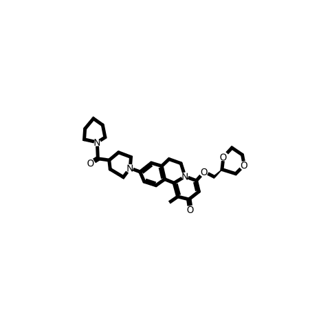 Cc1c2n(c(OC[C@@H]3COCCO3)cc1=O)CCc1cc(N3CCC(C(=O)N4CCCCC4)CC3)ccc1-2